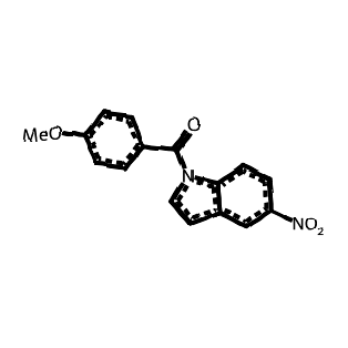 COc1ccc(C(=O)n2ccc3cc([N+](=O)[O-])ccc32)cc1